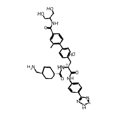 Cc1cc(C(=O)NC(CO)CO)ccc1-c1ccc(C[C@H](NC(=O)[C@H]2CC[C@H](CN)CC2)C(=O)Nc2ccc(-c3nn[nH]n3)cc2)cc1.Cl